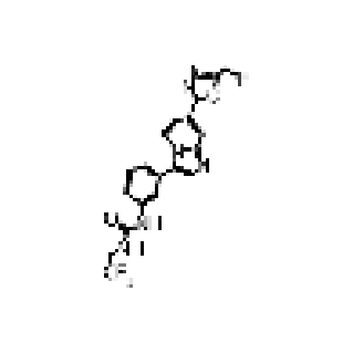 O=C(NCC(F)(F)F)Nc1cccc(-c2cnc3cc(-c4nnc(CF)o4)ccn23)c1